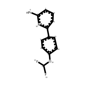 CCCc1cccc(-c2ccc(OC(F)F)cc2)n1